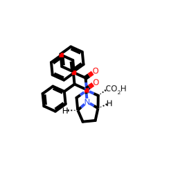 O=C(O)[C@@H]1[C@H]2CC[C@@H](CN1C(=O)c1ccccc1)N2C(=O)C(c1ccccc1)c1ccccc1